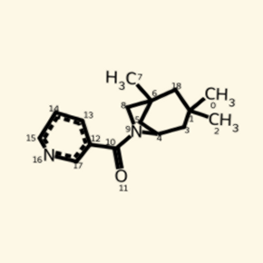 CC1(C)CC2CC(C)(CN2C(=O)c2cccnc2)C1